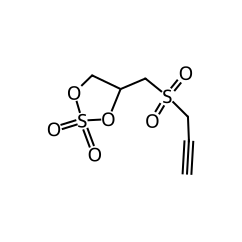 C#CCS(=O)(=O)CC1COS(=O)(=O)O1